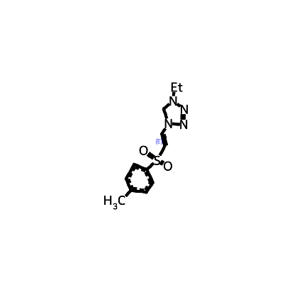 CCN1CN(/C=C/S(=O)(=O)c2ccc(C)cc2)N=N1